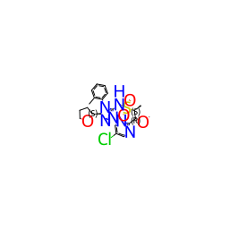 CO[C@H](c1ncc(Cl)cn1)[C@H](C)S(=O)(=O)Nc1nnc([C@@H]2CCCO2)n1-c1ccccc1C